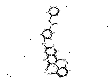 CN(Cc1ccccn1)c1ccc(Nc2cc3[nH]c(=O)n(-c4c(Cl)cccc4Cl)c(=N)c3cn2)cc1